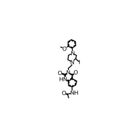 COc1ccccc1N1CCN(CCn2c(=O)[nH]c3cc(NC(C)=O)ccc3c2=O)C(I)C1